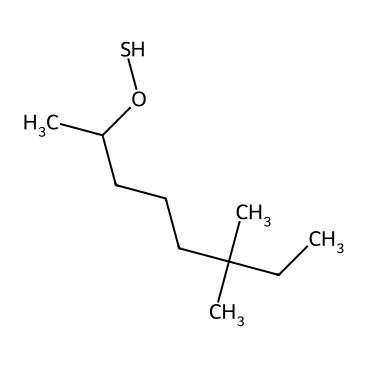 CCC(C)(C)CCCC(C)OS